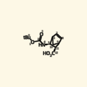 CC(C)(C)OC(=O)N[C@H]1C2C=CC(C2)[C@H]1C(=O)O